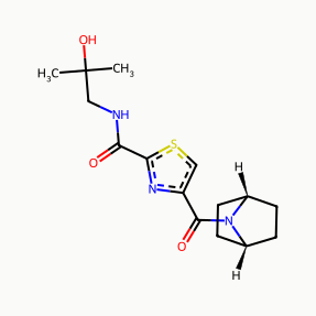 CC(C)(O)CNC(=O)c1nc(C(=O)N2[C@H]3CC[C@@H]2CC3)cs1